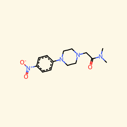 CN(C)C(=O)CN1CCN(c2ccc([N+](=O)[O-])cc2)CC1